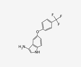 Nc1c[nH]c2ccc(Oc3ccc(C(F)(F)F)cc3)cc12